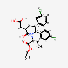 CCOC(=O)[C@@H](CC)N1C(=O)[C@@H](CC(=O)O)C[C@H](c2cccc(Cl)c2)[C@H]1c1ccc(Cl)cc1